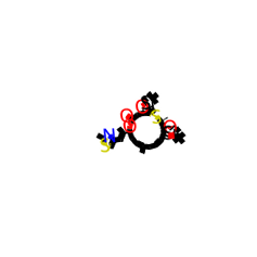 CC1=CC[C@@H](C(C)=Cc2csc(C)n2)OC(=O)C[C@H](O[Si](C)(C)C(C)(C)C)C(C)(C)S[C@H](C)[C@@H](O[Si](C)(C)C(C)(C)C)[C@@H](C)C=CC1